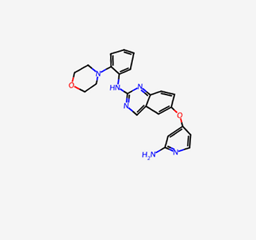 Nc1cc(Oc2ccc3nc(Nc4ccccc4N4CCOCC4)ncc3c2)ccn1